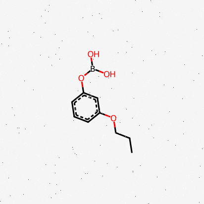 CCCOc1cccc(OB(O)O)c1